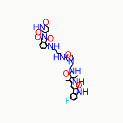 CCN(CCNC(=O)c1c(C)[nH]c(/C=C2\C(=O)Nc3ccc(F)cc32)c1C)CC(=O)NCCCCNc1cccc2c1C(=O)N(C1CCC(=O)NC1=O)C2=O